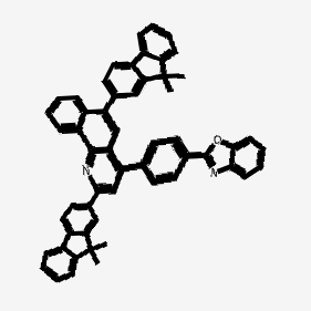 CC1(C)c2ccccc2-c2ccc(-c3cc(-c4ccc(-c5nc6ccccc6o5)cc4)c4cc(-c5ccc6c(c5)C(C)(C)c5ccccc5-6)c5ccccc5c4n3)cc21